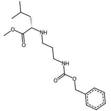 COC(=O)[C@H](CC(C)C)NCCCNC(=O)OCc1ccccc1